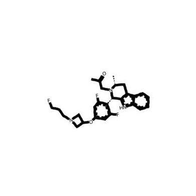 CC(=O)CN1[C@@H](c2c(F)cc(OC3CN(CCCF)C3)cc2F)c2[nH]c3ccccc3c2C[C@H]1C